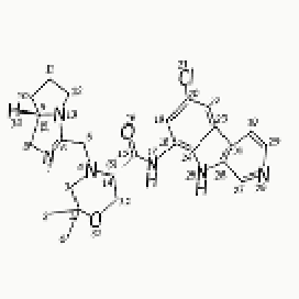 CC1(C)CN(CC2=NC[C@@H]3CCCN23)[C@H](C(=O)Nc2cc(Cl)cc3c2[nH]c2cnccc23)CO1